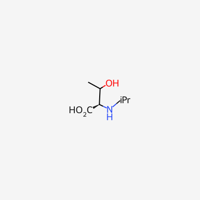 CC(C)N[C@@H](C(=O)O)C(C)O